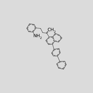 C=C(CCc1ccccc1N)c1ccc(-c2ccc(-c3ccccc3)cc2)c2ccccc12